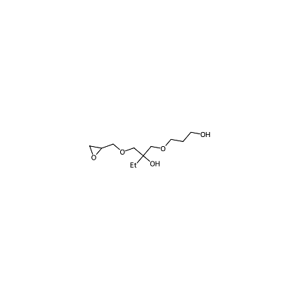 CCC(O)(COCCCO)COCC1CO1